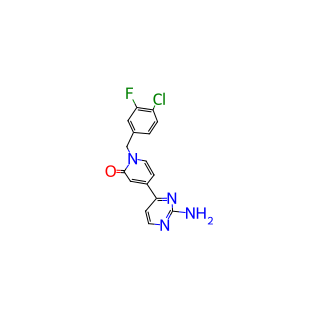 Nc1nccc(-c2ccn(Cc3ccc(Cl)c(F)c3)c(=O)c2)n1